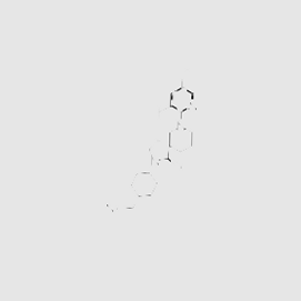 N#CC[C@H]1CC[C@H](N2CC[C@@]3(CCCN(c4ncc(Cl)cc4Cl)C3)C2=O)CC1